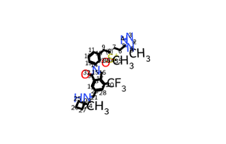 Cn1cnnc1CC[C@@H](Cc1cccc(N2Cc3c(cc(CNC4(C)CCC4)cc3C(F)(F)F)C2=O)c1)[S+](C)[O-]